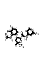 CC(=O)c1cc(NC(=O)[C@H]2O[C@](C)(C(F)(F)F)[C@H](C)[C@@H]2c2ccc(F)c(F)c2OC(F)F)ccn1